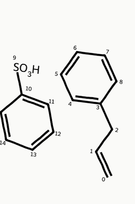 C=CCc1ccccc1.O=S(=O)(O)c1ccccc1